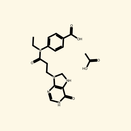 CC(=O)O.CCN(C(=O)CCN1CNc2c1nc[nH]c2=O)c1ccc(C(=O)O)cc1